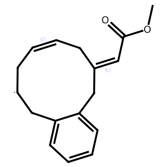 COC(=O)/C=C1\C/C=C\C[CH]Cc2ccccc2C1